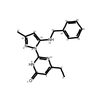 CCc1cc(=O)[nH]c(-n2nc(C)cc2NCc2ccccc2)n1